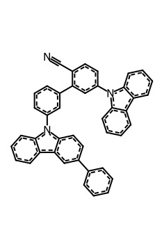 N#Cc1ccc(-n2c3ccccc3c3ccccc32)cc1-c1cccc(-n2c3ccccc3c3cc(-c4ccccc4)ccc32)c1